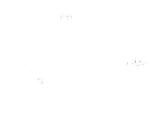 CCCCC1=CC(C)(C)N(C)c2ccc(OC)cc21